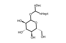 CCCCCCCCCCC(CCCCCCC)OC1O[C@H](CO)[C@@H](O)[C@H](O)[C@H]1O